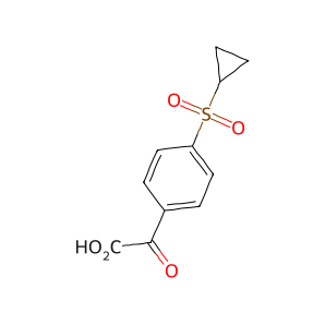 O=C(O)C(=O)c1ccc(S(=O)(=O)C2CC2)cc1